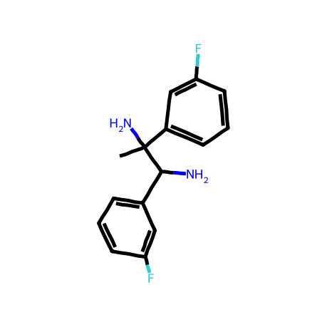 CC(N)(c1cccc(F)c1)C(N)c1cccc(F)c1